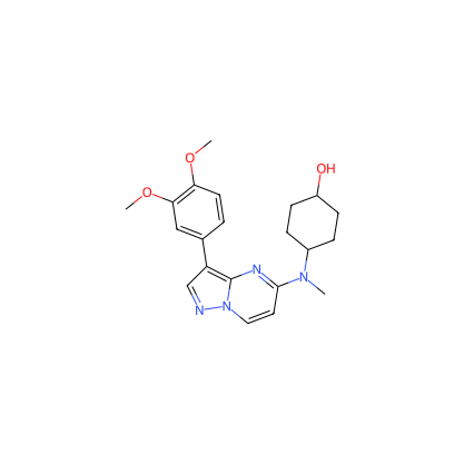 COc1ccc(-c2cnn3ccc(N(C)C4CCC(O)CC4)nc23)cc1OC